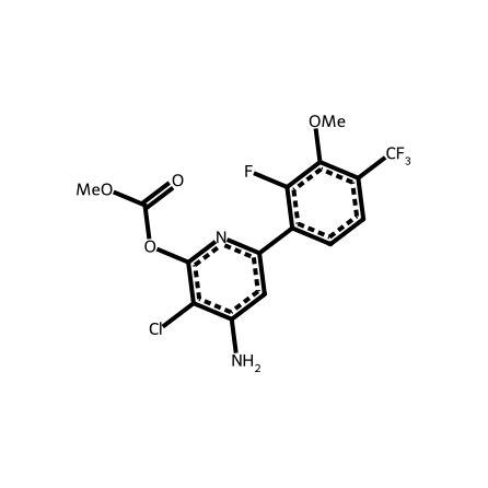 COC(=O)Oc1nc(-c2ccc(C(F)(F)F)c(OC)c2F)cc(N)c1Cl